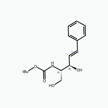 CC(C)(C)OC(=O)N[C@@H](CO)[C@H](O)/C=C/c1ccccc1